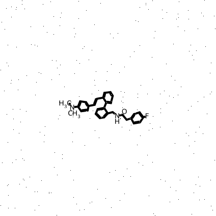 CN(C)c1ccc(C=Cc2ccccc2-c2ccccc2CNC(=O)Cc2ccc(F)cc2)cc1